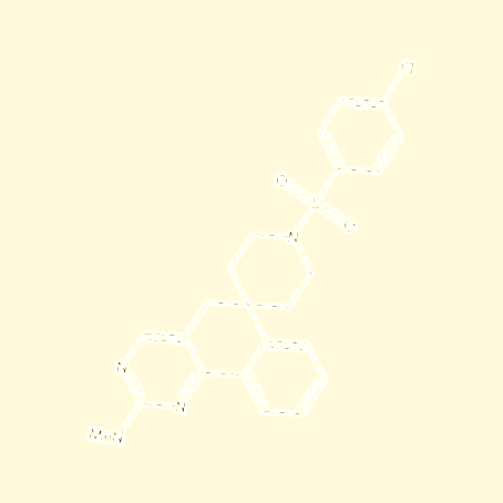 CNc1ncc2c(n1)-c1ccccc1C1(CCN(S(=O)(=O)c3ccc(Cl)cc3)CC1)C2